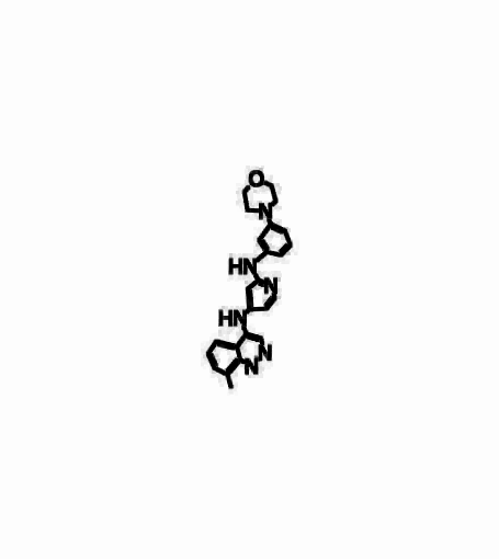 Cc1cccc2c(Nc3ccnc(Nc4cccc(N5CCOCC5)c4)c3)cnnc12